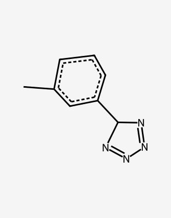 Cc1cccc(C2N=NN=N2)c1